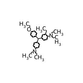 CCOc1ccc(C(c2ccc(N(CC)CC)cc2)c2ccc(N(CC)CC)c(CC)c2)cc1